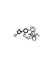 CC(C(=O)OC1CC2CCC1(C)C2(C)C)c1ccc(-n2cc(Cl)cn2)c(Cl)c1